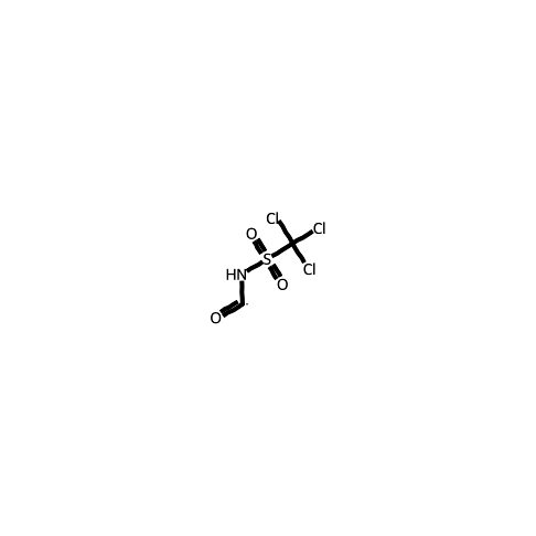 O=[C]NS(=O)(=O)C(Cl)(Cl)Cl